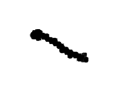 CCOC(=O)/C(C)=C/C=C/C(C)=C/C=C/C(C)=C/C=C/C=C(C)/C=C/C=C(C)/C=C/C1=C(C)CCCC1(C)C